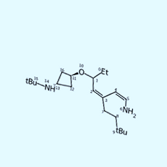 CCC(/C=C(\C=C/N)CCC(C)(C)C)O[C@H]1C[C@H](NC(C)(C)C)C1